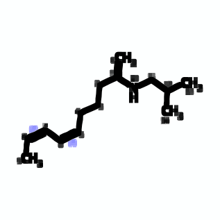 C=C(CCC/C=C\C=C/C)NCC(C)C